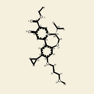 CCOC(=O)c1cn2c(cc1=O)-c1cc(C3CC3)c(OCCCOC)cc1OC[C@H]2C(C)C